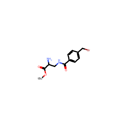 CC(C)(C)OC(=O)C(N)CNC(=O)c1ccc(CBr)cc1